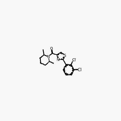 CC1CCCC(C)N1C(=O)c1csc(-c2cccc(Cl)c2Cl)n1